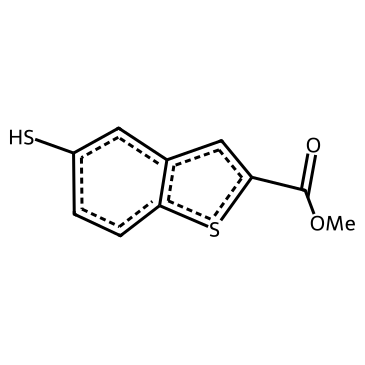 COC(=O)c1cc2cc(S)ccc2s1